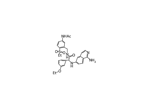 CCOc1cccc(C(Nc2ccc3c(N)nccc3c2)C(=O)NCc2cc(NC(C)=O)ccc2S(=O)(=O)CC)c1